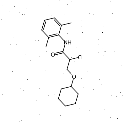 Cc1cccc(C)c1NC(=O)C(Cl)COC1CCCCC1